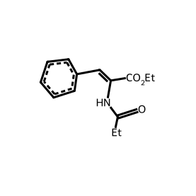 CCOC(=O)C(=Cc1ccccc1)NC(=O)CC